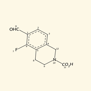 O=Cc1ccc2c(c1F)CCN(C(=O)O)C2